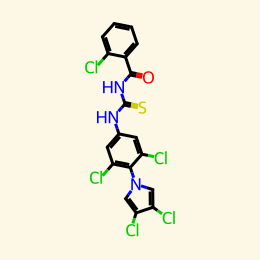 O=C(NC(=S)Nc1cc(Cl)c(-n2cc(Cl)c(Cl)c2)c(Cl)c1)c1ccccc1Cl